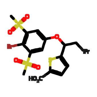 CC(C)CC(Oc1cc(S(C)(=O)=O)c(Br)c(S(C)(=O)=O)c1)c1ccc(C(=O)O)s1